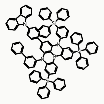 c1ccc(-c2cccc(N3c4cc([Si](c5ccccc5)(c5ccccc5)c5ccccc5)ccc4B4c5ccc([Si](c6ccccc6)(c6ccccc6)c6ccccc6)cc5N(c5cccc([Si](c6ccccc6)(c6ccccc6)c6ccccc6)c5)c5cc(-c6ccc(-n7c8ccccc8c8ccccc87)cc6)cc3c54)c2)cc1